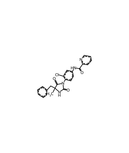 CC1(Cc2ccccc2)NC(=O)N(c2ccc(NC(=O)c3ccccn3)cc2Cl)C1=O